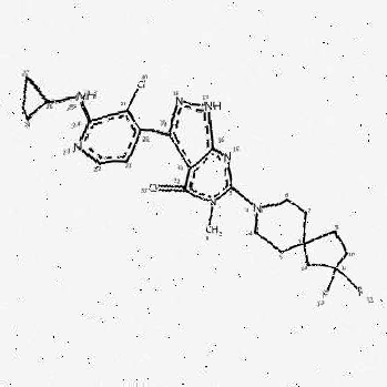 Cn1c(N2CCC3(CC2)CCC(F)(F)C3)nc2[nH]nc(-c3ccnc(NC4CC4)c3Cl)c2c1=O